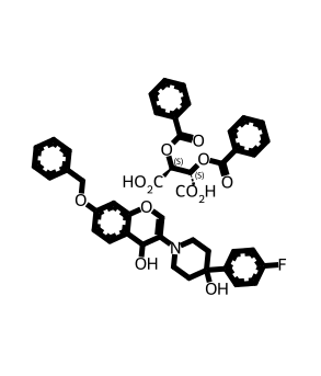 O=C(O[C@H](C(=O)O)[C@H](OC(=O)c1ccccc1)C(=O)O)c1ccccc1.OC1C(N2CCC(O)(c3ccc(F)cc3)CC2)=COc2cc(OCc3ccccc3)ccc21